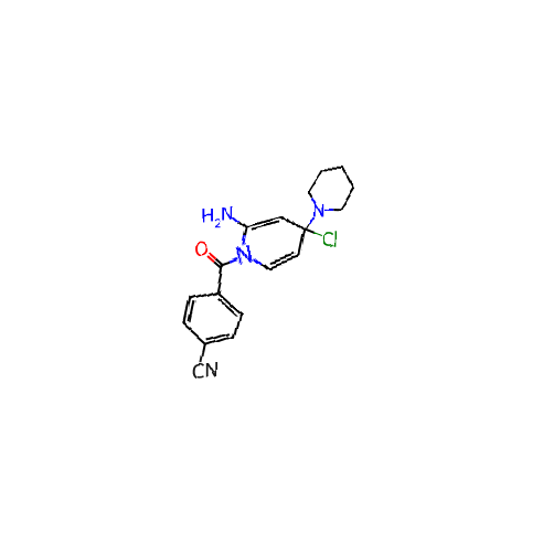 N#Cc1ccc(C(=O)N2C=CC(Cl)(N3CCCCC3)C=C2N)cc1